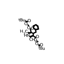 CC1=C(C(=O)OCOC(=O)C(C)(C)C)C(Cc2ccccc2)C(C(=O)OCOC(=O)C(C)(C)C)=C(C)N1